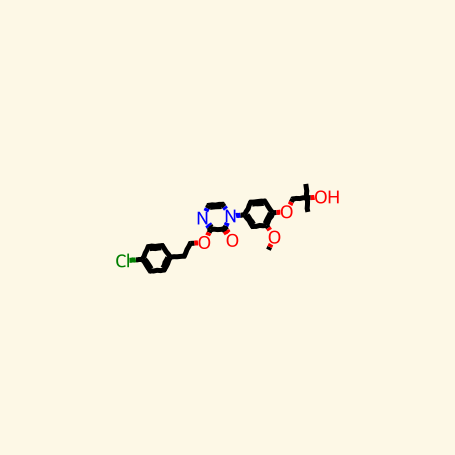 COc1cc(-n2ccnc(OCCc3ccc(Cl)cc3)c2=O)ccc1OCC(C)(C)O